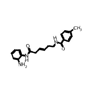 Cc1ccc(C(=O)NCCC=CCC(=O)Nc2ccccc2N)cc1